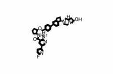 Nc1ncc(-c2ccc(F)nc2)cc1C(=O)N[C@H]1CCC[C@@H]1OCc1ccc(-c2ccc3c(c2)CC[C@H]3N2CCN3C[C@H](O)C[C@H]3C2)cc1